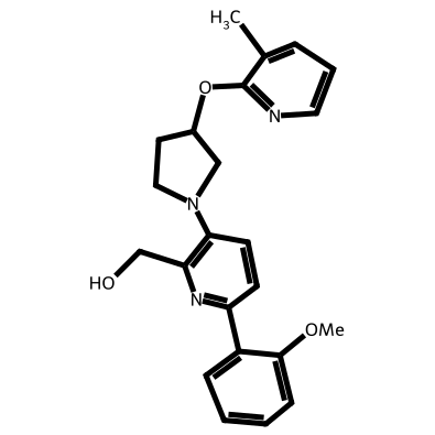 COc1ccccc1-c1ccc(N2CCC(Oc3ncccc3C)C2)c(CO)n1